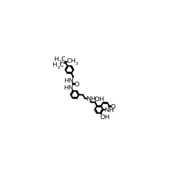 CC(C)(C)c1ccc(CNC(=O)Nc2cccc(CCNC[C@H](O)c3ccc(O)c4[nH]c(=O)ccc34)c2)cc1